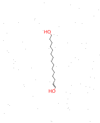 OC=CCCCCCCCCCCCCCO